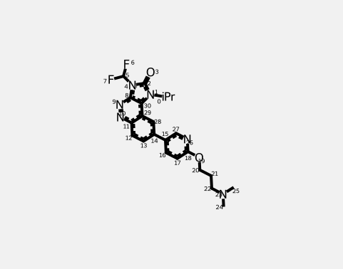 CC(C)n1c(=O)n(C(F)F)c2nnc3ccc(-c4ccc(OCCCN(C)C)nc4)cc3c21